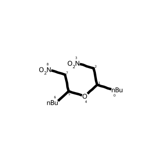 CCCCC(C[N+](=O)[O-])OC(CCCC)C[N+](=O)[O-]